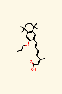 CCCOc1cc2c(cc1/C=C/C=C/C(C)=C\C(=O)O)C(C)(C)CCC2(C)C